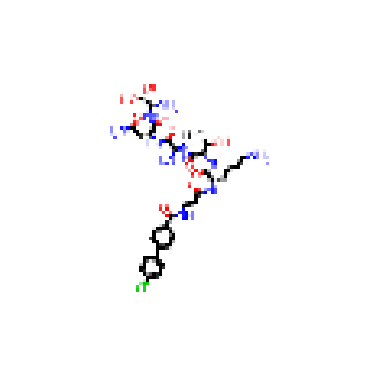 CC(O)[C@H](NC(=O)[C@H](CCCCN)NC(=O)CCNC(=O)c1ccc(-c2ccc(Cl)cc2)cc1)C(=O)N[C@@H](N)C(=O)N[C@@H](CC(N)=O)C(=O)N[C@@H](N)B(O)O